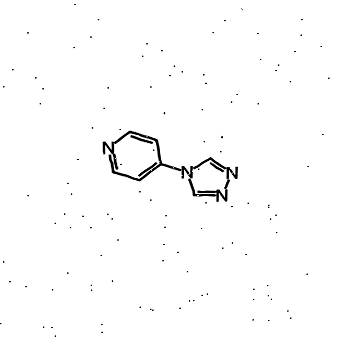 c1cc(-n2cnnc2)ccn1